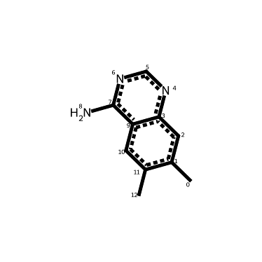 Cc1cc2ncnc(N)c2cc1C